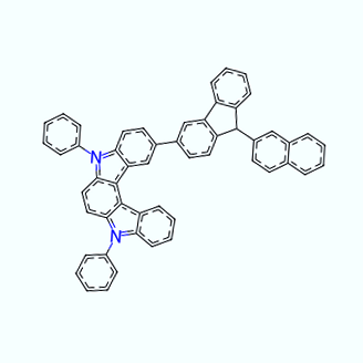 c1ccc(-n2c3ccccc3c3c4c5cc(-c6ccc7c(c6)-c6ccccc6C7c6ccc7ccccc7c6)ccc5n(-c5ccccc5)c4ccc32)cc1